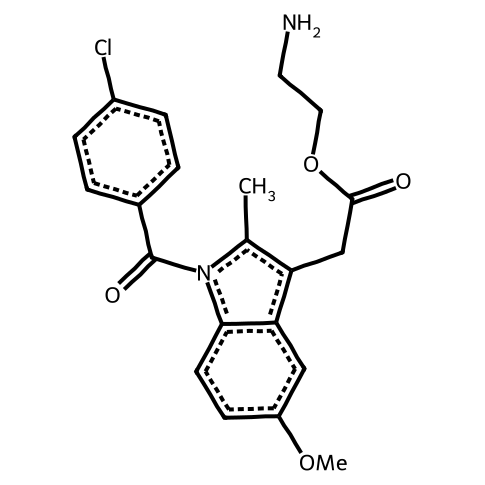 COc1ccc2c(c1)c(CC(=O)OCCN)c(C)n2C(=O)c1ccc(Cl)cc1